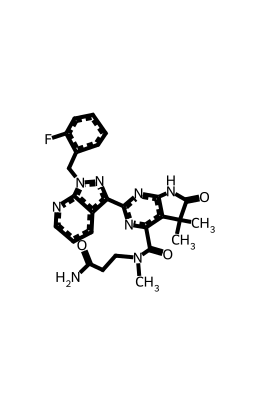 CN(CCC(N)=O)C(=O)c1nc(-c2nn(Cc3ccccc3F)c3ncccc23)nc2c1C(C)(C)C(=O)N2